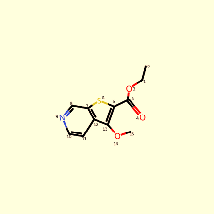 CCOC(=O)c1sc2cnccc2c1OC